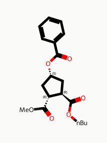 CCCCOC(=O)[C@@H]1C[C@@H](OC(=O)c2ccccc2)C[C@H]1C(=O)OC